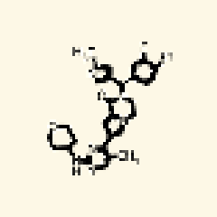 Cc1cnc(NC2CCOCC2)nc1-c1cc2n(c1)CCN([C@H](c1ccc(Cl)c(F)c1)c1cnn(C)c1)C2=O